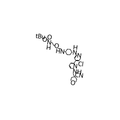 CC(C)(C)OC(=O)NCCOCCN[C@H]1CC[C@H](Nc2cc(-c3cccc(NCC4(C#N)CCOCC4)n3)c(Cl)cn2)CC1